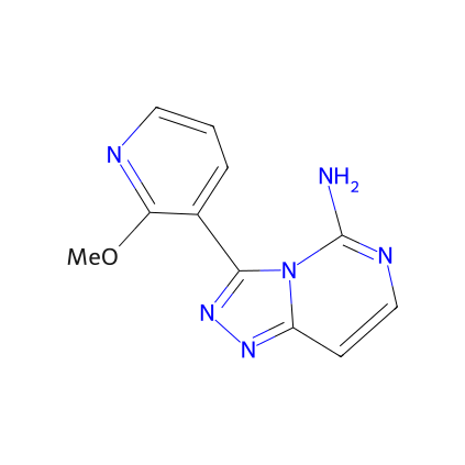 COc1ncccc1-c1nnc2ccnc(N)n12